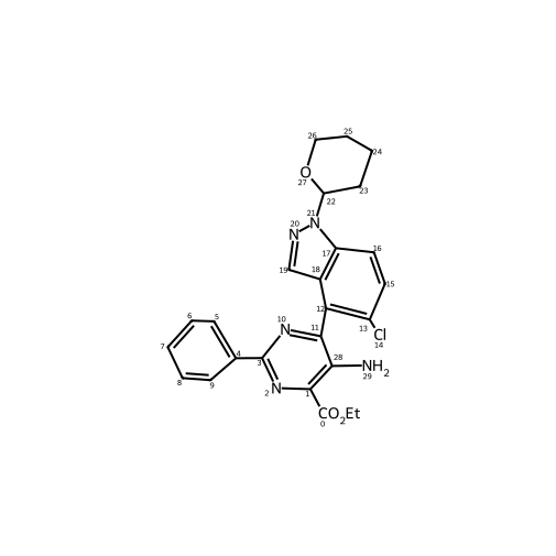 CCOC(=O)c1nc(-c2ccccc2)nc(-c2c(Cl)ccc3c2cnn3C2CCCCO2)c1N